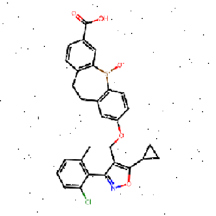 Cc1cccc(Cl)c1-c1noc(C2CC2)c1COc1ccc2c(c1)CCc1ccc(C(=O)O)cc1[S+]2[O-]